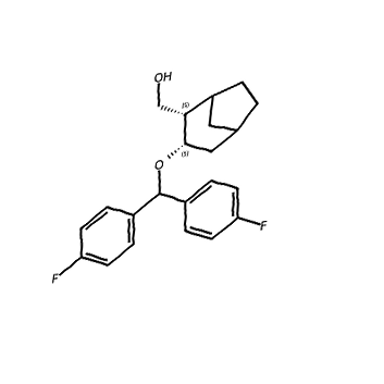 OC[C@@H]1C2CCC(C2)C[C@@H]1OC(c1ccc(F)cc1)c1ccc(F)cc1